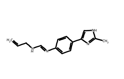 C=CCNC=Nc1ccc(-c2c[nH]c(C)n2)cc1